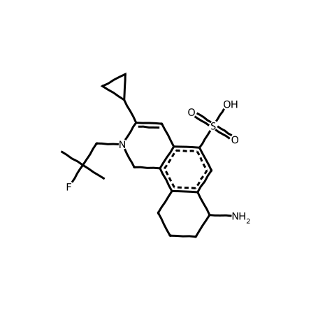 CC(C)(F)CN1Cc2c(c(S(=O)(=O)O)cc3c2CCCC3N)C=C1C1CC1